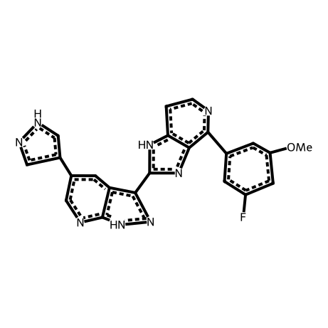 COc1cc(F)cc(-c2nccc3[nH]c(-c4n[nH]c5ncc(-c6cn[nH]c6)cc45)nc23)c1